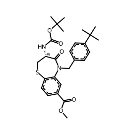 COC(=O)c1ccc2c(c1)N(Cc1ccc(C(C)(C)C)cc1)C(=O)[C@@H](NC(=O)OC(C)(C)C)CS2